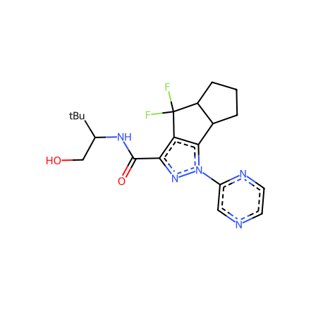 CC(C)(C)C(CO)NC(=O)c1nn(-c2cnccn2)c2c1C(F)(F)C1CCCC21